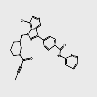 CC#CC(=O)N1CCC[C@@H](Cn2nc(-c3ccc(C(=O)Nc4ccccn4)cc3)c3cncc(Cl)c32)C1